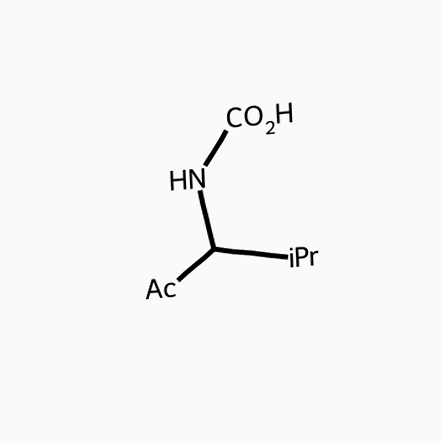 CC(=O)C(NC(=O)O)C(C)C